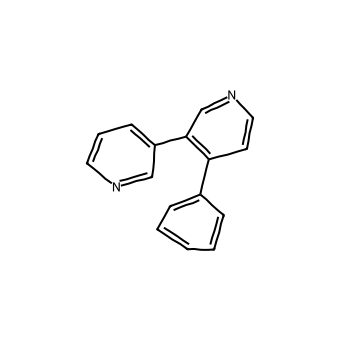 c1ccc(-c2ccncc2-c2cccnc2)cc1